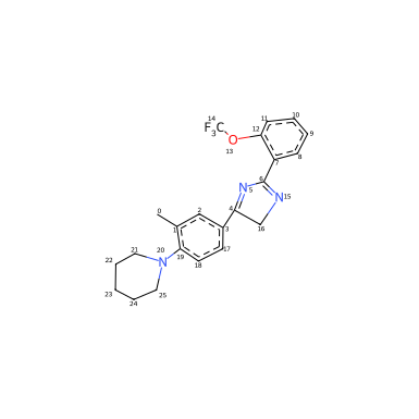 Cc1cc(C2=NC(c3ccccc3OC(F)(F)F)=NC2)ccc1N1CCCCC1